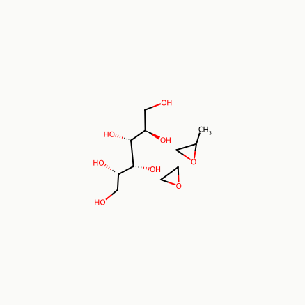 C1CO1.CC1CO1.OC[C@@H](O)[C@@H](O)[C@H](O)[C@@H](O)CO